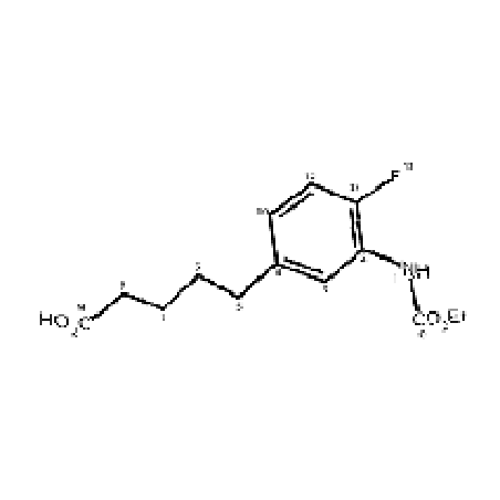 CCOC(=O)Nc1cc(CCCCC(=O)O)ccc1F